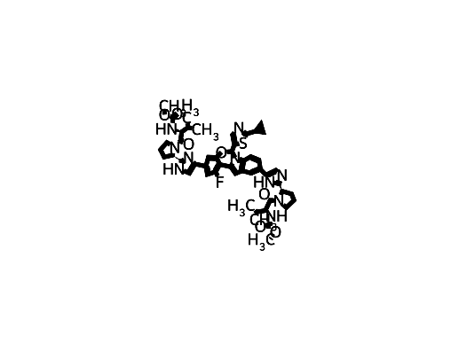 COC(=O)N[C@H](C(=O)N1CCC[C@H]1c1nc(-c2cc(F)c3c(c2)OC(c2cnc(C4CC4)s2)n2c-3cc3cc(-c4cnc([C@@H]5CCCN5C(=O)[C@@H](NC(=O)OC)C(C)C)[nH]4)ccc32)c[nH]1)C(C)C